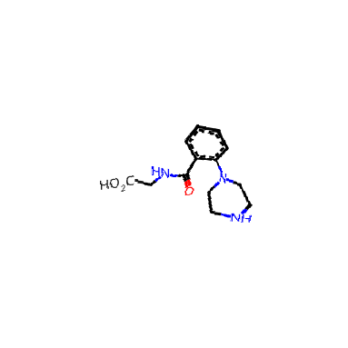 O=C(O)CNC(=O)c1ccccc1N1CCNCC1